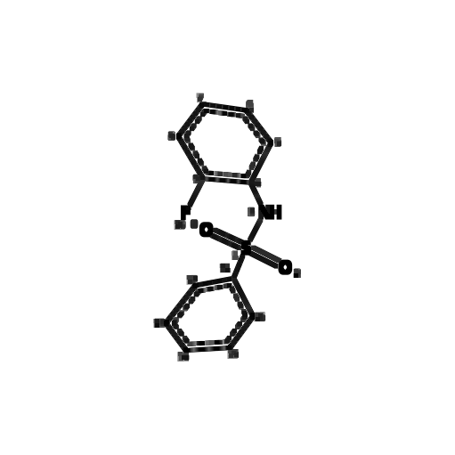 O=S(=O)(Nc1c[c]ccc1F)c1ccccc1